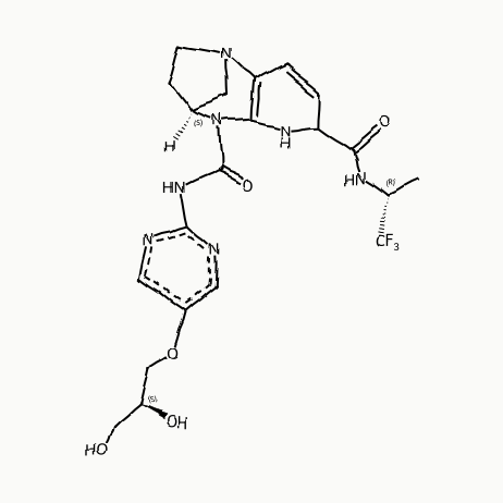 C[C@@H](NC(=O)C1C=CC2=C(N1)N(C(=O)Nc1ncc(OC[C@@H](O)CO)cn1)[C@H]1CCN2C1)C(F)(F)F